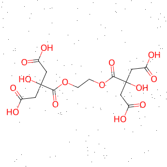 O=C(O)CC(O)(CC(=O)O)C(=O)OCCOC(=O)C(O)(CC(=O)O)CC(=O)O